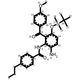 CCCc1ccc(C(=O)Nc2c(N)ccc(O[Si](C)(C)C(C)(C)C)c2C(=O)c2ccc(OC)cc2)cc1